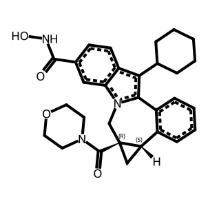 O=C(NO)c1ccc2c(C3CCCCC3)c3n(c2c1)C[C@@]1(C(=O)N2CCOCC2)C[C@H]1c1ccccc1-3